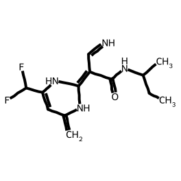 C=C1C=C(C(F)F)N/C(=C(\C=N)C(=O)NC(C)CC)N1